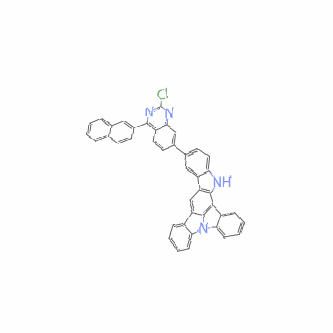 Clc1nc(-c2ccc3ccccc3c2)c2ccc(-c3ccc4[nH]c5c(cc6c7ccccc7n7c8ccccc8c5c67)c4c3)cc2n1